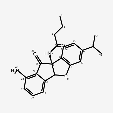 CCCC(=O)N[C@]12[C](Oc3cc(C(C)C)ccc31)c1cccc(N)c1C2=O